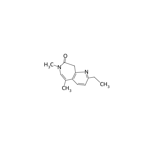 CCc1ccc2c(n1)CC(=O)N(C)C=C2C